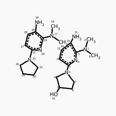 CN(C)c1nc(N2CCC(O)C2)ccc1N.CN(C)c1nc(N2CCCC2)ccc1N